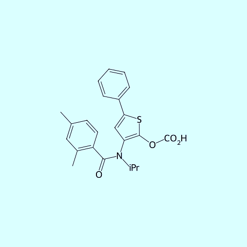 Cc1ccc(C(=O)N(c2cc(-c3ccccc3)sc2OC(=O)O)C(C)C)c(C)c1